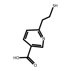 O=C(O)c1ccc(CCS)nc1